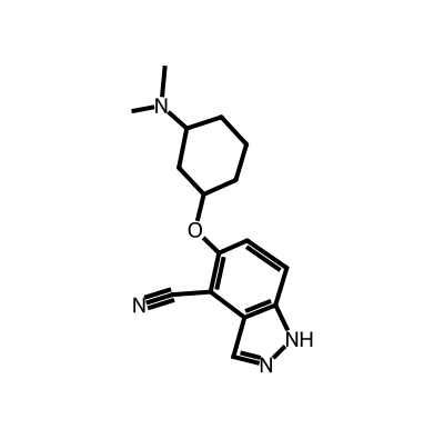 CN(C)C1CCCC(Oc2ccc3[nH]ncc3c2C#N)C1